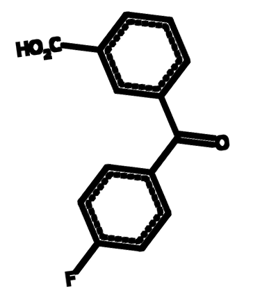 O=C(O)c1cccc(C(=O)c2ccc(F)cc2)c1